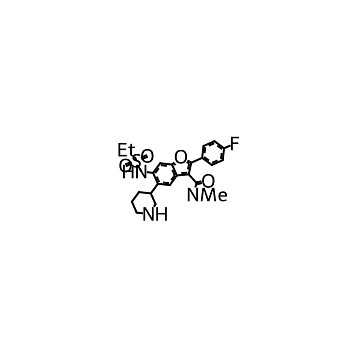 CCS(=O)(=O)Nc1cc2oc(-c3ccc(F)cc3)c(C(=O)NC)c2cc1C1CCCNC1